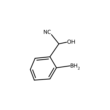 Bc1ccccc1C(O)C#N